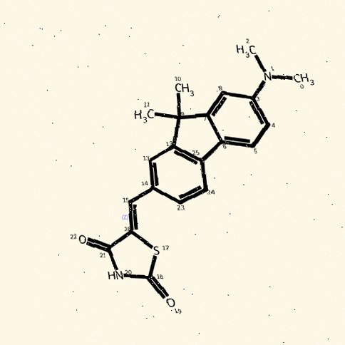 CN(C)c1ccc2c(c1)C(C)(C)c1cc(/C=C3\SC(=O)NC3=O)ccc1-2